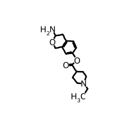 CCN1CCC(C(=O)Oc2ccc3c(c2)COC(N)C3)CC1